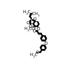 COCc1ccc(Oc2ccc(/C=C/C(=O)O[C@@H]3CC[C@]4(CO4)[C@@H](C4(C)O[C@H]4CC=C(C)C)[C@@H]3OC)cc2)cc1